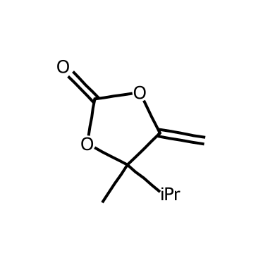 C=C1OC(=O)OC1(C)C(C)C